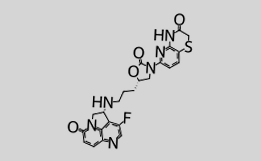 O=C1CSc2ccc(N3C[C@H](CCCN[C@H]4Cn5c(=O)ccc6ncc(F)c4c65)OC3=O)nc2N1